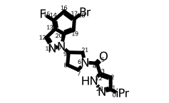 CC(C)c1cc(C(=O)N2CCC(n3ncc4c(F)cc(Br)cc43)C2)[nH]n1